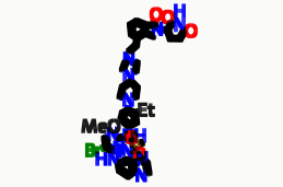 CCc1cc(Nc2ncc(Br)c(Nc3ccc4nccnc4c3NS(C)(=O)=O)n2)c(OC)cc1N1CCC(N2CCN(CCc3cccc4c3CN(C3CCC(=O)NC3=O)C4=O)CC2)CC1